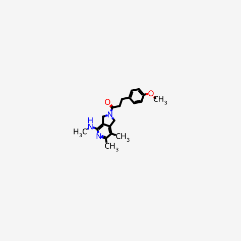 CNc1nc(C)c(C)c2c1CN(C(=O)CCc1ccc(OC)cc1)C2